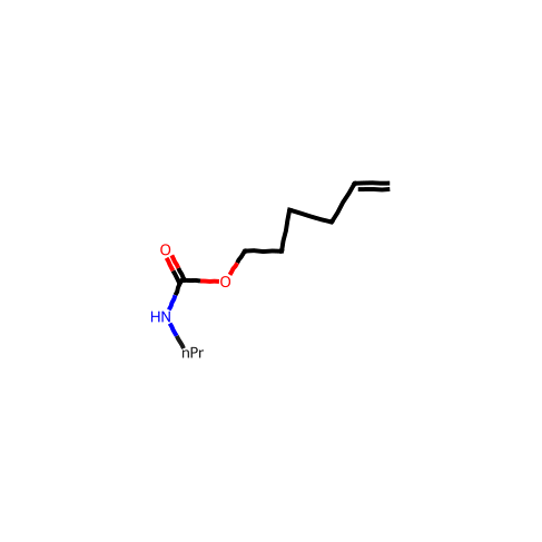 C=CCCCCOC(=O)NCCC